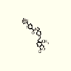 Cc1c(CCN2CCC3(CC2)CCN3C(=O)c2ccc(-n3cnnn3)nc2)ccc2c1COC2=O